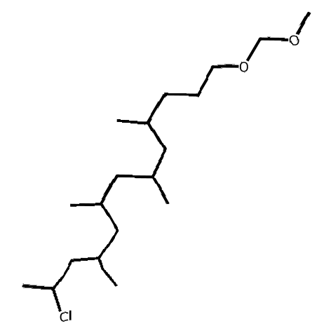 COCOCCCC(C)CC(C)CC(C)CC(C)CC(C)Cl